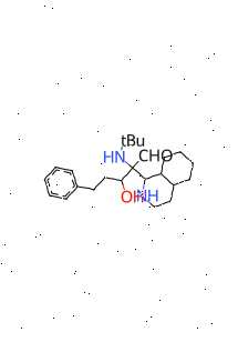 CC(C)(C)NC(C=O)(C(O)CCc1ccccc1)C1NCCC2CCCCC21